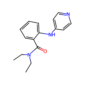 CCN(CC)C(=O)c1ccccc1Nc1ccncc1